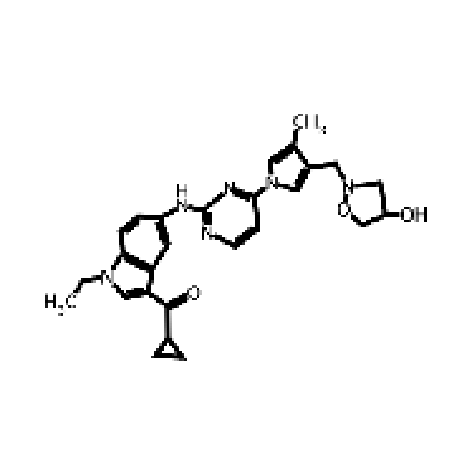 CCn1cc(C(=O)C2CC2)c2cc(Nc3nccc(-n4cc(C)c(CN5CC(O)CO5)c4)n3)ccc21